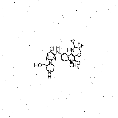 Cn1c(=O)c2c(c3cc(Nc4nc(N5CCNCC5CO)ncc4Cl)ccc31)NC(C1CC1)C(F)(F)CO2